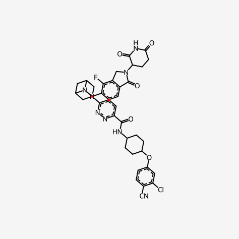 N#Cc1ccc(OC2CCC(NC(=O)c3ccc(N4CC5CC(C4)N5Cc4ccc5c(c4F)CN(C4CCC(=O)NC4=O)C5=O)nn3)CC2)cc1Cl